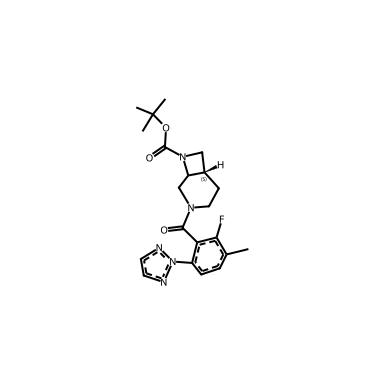 Cc1ccc(-n2nccn2)c(C(=O)N2CC[C@H]3CN(C(=O)OC(C)(C)C)C3C2)c1F